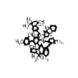 Cc1cc(C)c(-c2cc3c4c(c2)N(c2cc5c(cc2C)C(C)(C)CCC5(C)C)c2cc5c(cc2B4N(c2ccc(C(C)(C)C)cc2-c2ccccc2)c2ccc4c(c2-3)-c2ccccc2C4(C)C)Oc2ccccc2O5)c(C)c1